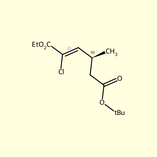 CCOC(=O)/C(Cl)=C/[C@@H](C)CC(=O)OC(C)(C)C